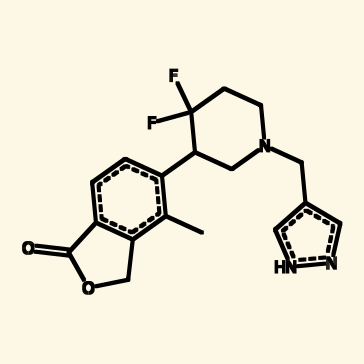 Cc1c(C2CN(Cc3cn[nH]c3)CCC2(F)F)ccc2c1COC2=O